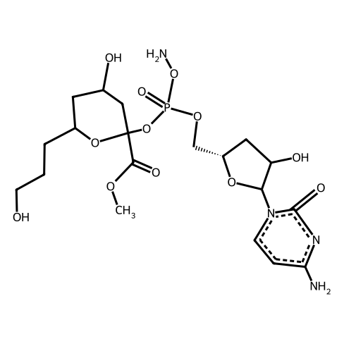 COC(=O)C1(OP(=O)(ON)OC[C@@H]2CC(O)C(n3ccc(N)nc3=O)O2)CC(O)CC(CCCO)O1